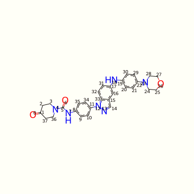 O=C1CCN(C(=O)Nc2ccc(-n3ncc4cc(Nc5ccc(N6CCOCC6)cc5)ccc43)cc2)CC1